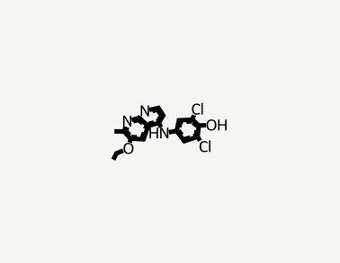 CCOc1cc2c(Nc3cc(Cl)c(O)c(Cl)c3)ccnc2nc1C